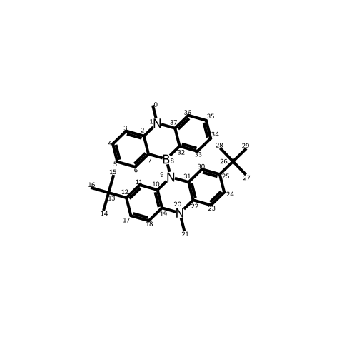 CN1c2ccccc2B(N2c3cc(C(C)(C)C)ccc3N(C)c3ccc(C(C)(C)C)cc32)c2ccccc21